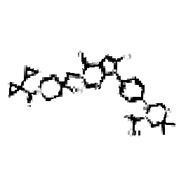 CC1(C)CN(C(=O)O)[C@@H](c2ccc(-n3c(Cl)cc4c(=O)n(CC5(O)CCN(C(=O)C6(C7CC7)CC6)CC5)cnc43)cc2)CO1